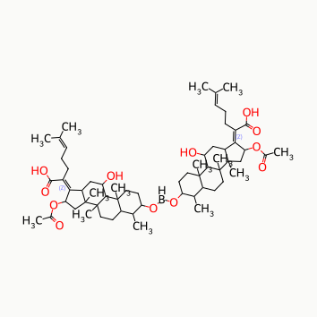 CC(=O)OC1CC2(C)C(CC(O)C3C4(C)CCC(OBOC5CCC6(C)C(CCC7(C)C6C(O)CC6/C(=C(\CCC=C(C)C)C(=O)O)C(OC(C)=O)CC67C)C5C)C(C)C4CCC32C)/C1=C(\CCC=C(C)C)C(=O)O